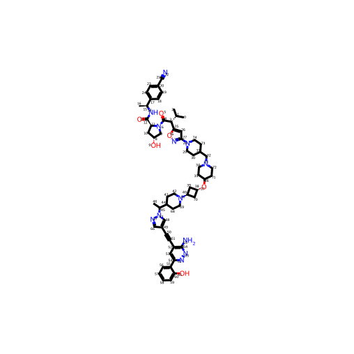 CC(C)[C@@H](C(=O)N1C[C@H](O)C[C@H]1C(=O)N[C@@H](C)c1ccc(C#N)cc1)c1cc(N2CCC(CN3CCC(O[C@H]4C[C@H](N5CCC(C(C)n6cc(C#Cc7cc(-c8ccccc8O)nnc7N)cn6)CC5)C4)CC3)CC2)no1